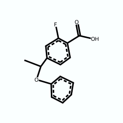 CC(Oc1ccccc1)c1ccc(C(=O)O)c(F)c1